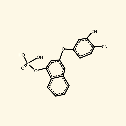 N#Cc1ccc(Oc2cc(OP(=O)(O)O)c3ccccc3c2)cc1C#N